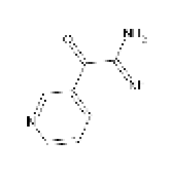 N=C(N)C(=O)c1cccnc1